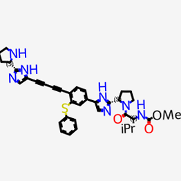 COC(=O)N[C@H](C(=O)N1CCC[C@H]1c1ncc(-c2ccc(C#CC#Cc3cnc([C@@H]4CCCN4)[nH]3)c(Sc3ccccc3)c2)[nH]1)C(C)C